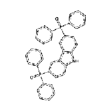 O=P(c1ccccc1)(c1ccccc1)c1ccc2[nH]c3ccc(P(=O)(c4ccccc4)c4ccccc4)cc3c2c1